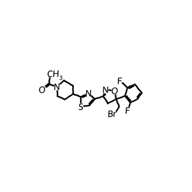 CC(=O)N1CCC(c2nc(C3=NOC(CBr)(c4c(F)cccc4F)C3)cs2)CC1